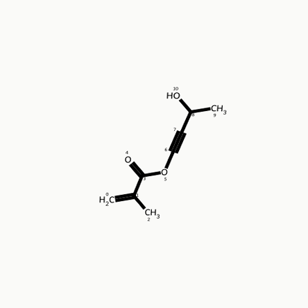 C=C(C)C(=O)OC#CC(C)O